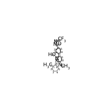 C[C@@H]1CCCC[C@@H](N(C)c2ccc(-c3ccc(-c4nnc(C(F)(F)F)o4)cc3O)nn2)C1